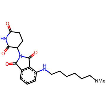 CNCCCCCCNc1cccc2c1C(=O)N(C1CCC(=O)NC1=O)C2=O